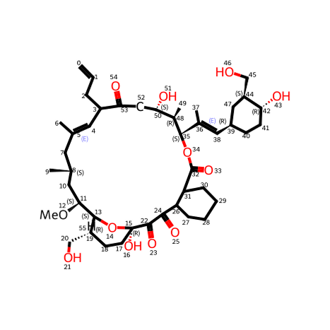 C=CCC1/C=C(\C)C[C@H](C)C[C@H](OC)[C@H]2O[C@](O)(CC[C@@H]2CO)C(=O)C(=O)C2CCCCC2C(=O)O[C@H](/C(C)=C/[C@@H]2CC[C@@H](O)[C@H](CO)C2)[C@H](C)[C@@H](O)CC1=O